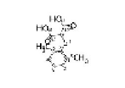 Cc1cccc(C)c1SC(C(=O)O)C(=O)O